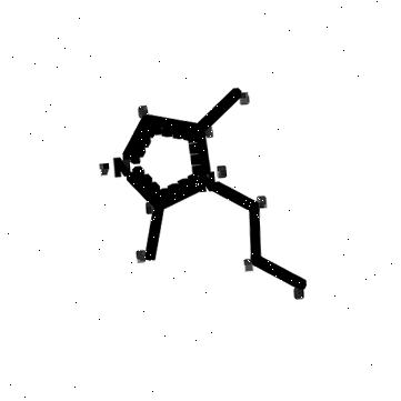 CCCn1c(C)cnc1C